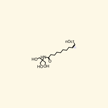 CCCCCCCC/C=C\CCCCCCCC(=O)NC(CO)(CO)CO